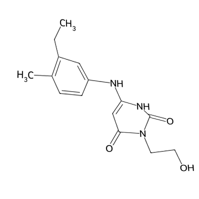 CCc1cc(Nc2cc(=O)n(CCO)c(=O)[nH]2)ccc1C